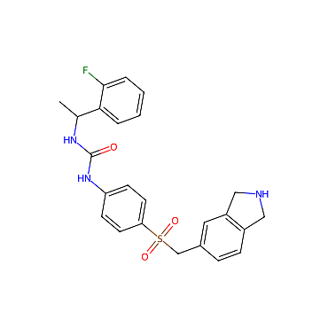 CC(NC(=O)Nc1ccc(S(=O)(=O)Cc2ccc3c(c2)CNC3)cc1)c1ccccc1F